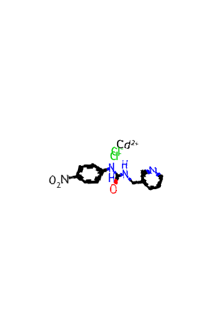 O=C(NCc1cccnc1)Nc1ccc([N+](=O)[O-])cc1.[Cd+2].[Cl-].[Cl-]